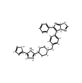 c1ccc(-c2nc3scnn3c2-c2ccc(CN3CCC(c4nnc(-c5cccs5)[nH]4)CC3)cc2)cc1